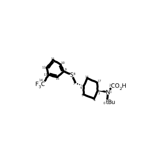 CC(C)(C)N(C(=O)O)[C@H]1CC[C@H](CSc2cccc(C(F)(F)F)c2)CC1